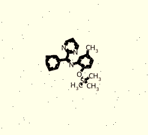 Cc1ccc(O[Si](C)(C)C)c(N=C(c2ccccc2)c2ncccn2)c1